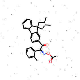 CCCC1(CCC)c2ccccc2-c2ccc(C(=O)/C(=N\OC(C)=O)c3ccccc3C)cc21